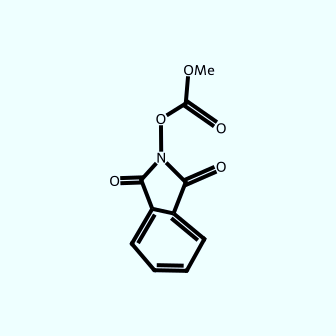 COC(=O)ON1C(=O)c2ccccc2C1=O